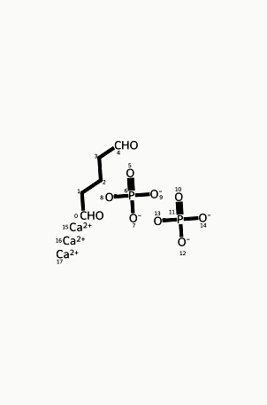 O=CCCCC=O.O=P([O-])([O-])[O-].O=P([O-])([O-])[O-].[Ca+2].[Ca+2].[Ca+2]